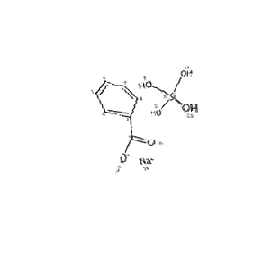 O=C([O-])c1ccccc1.O[Si](O)(O)O.[Na+]